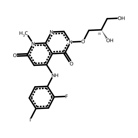 Cn1c(=O)cc(Nc2ccc(I)cc2F)c2c(=O)n(OC[C@@H](O)CO)cnc21